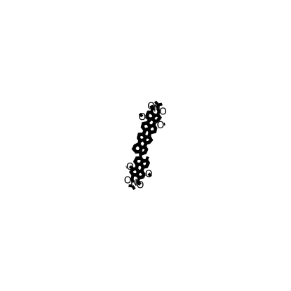 COc1cc2c3c(cc(OC)c4c5ccc(-c6ccc7c8ccc9c%10ccc%11c%12c(OC)cc%13c%14c(cc(OC)c(c%15ccc(c%16ccc(c%17cccc6c%177)c8c%169)c%10c%15%11)c%14%12)C(=O)N(C(C)C)C%13=O)c6c(C)ccc(c1c34)c65)C(=O)N(C(C)C)C2=O